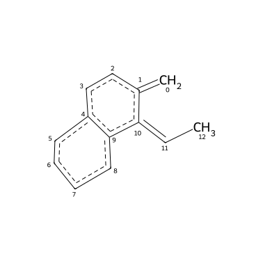 C=c1ccc2ccccc2/c1=C/C